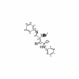 Br.O=C(Nc1ccccc1)C(Br)=C(Br)C=Nc1ccccc1